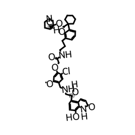 COc1cc(OCC(=O)NCCCc2cccc(C3(C(=O)O[C@H]4CN5CCC4CC5)CCCCC3)c2)c(Cl)cc1CNC[C@H](O)c1ccc(O)c2[nH]c(=O)ccc12